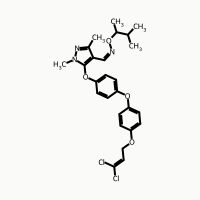 Cc1nn(C)c(Oc2ccc(Oc3ccc(OCC=C(Cl)Cl)cc3)cc2)c1/C=N\OC(C)C(C)C